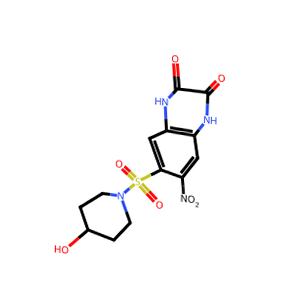 O=c1[nH]c2cc([N+](=O)[O-])c(S(=O)(=O)N3CCC(O)CC3)cc2[nH]c1=O